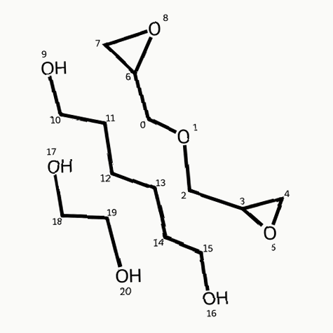 C(OCC1CO1)C1CO1.OCCCCCCO.OCCO